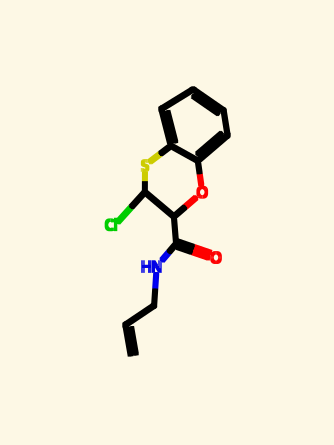 C=CCNC(=O)C1Oc2ccccc2SC1Cl